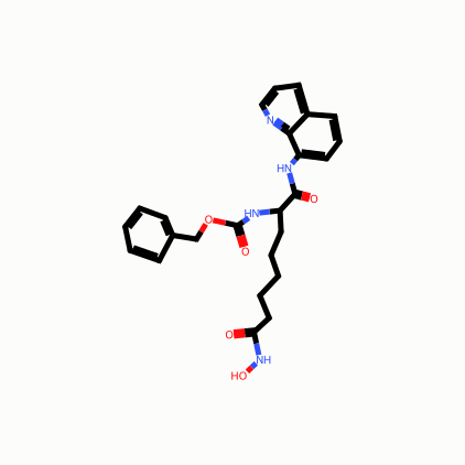 O=C(CCCCCC(NC(=O)OCc1ccccc1)C(=O)Nc1cccc2cccnc12)NO